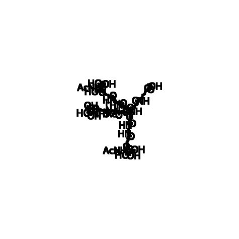 CC(=O)NC1C(OCCCCC(=O)NCCCNC(=O)CCOCC(COCCC(=O)NCCCNC(=O)CCCCOC2OC(CO)C(O)C(O)C2NC(C)=O)(COCCC(=O)NCCCNC(=O)CCCCOC(OC(CO)[C@@H](C)O)[C@H](CO)NC(C)=O)NC(=O)CCCC(=O)NCCCCCCOP(C)(=O)O)OC(CO)C(O)C1O